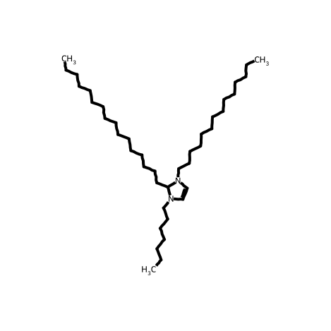 CCCCCCCCCCCCCCCCC1N(CCCCCCC)C=CN1CCCCCCCCCCCCCC